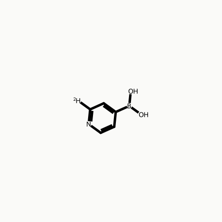 [2H]c1cc(B(O)O)ccn1